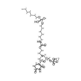 CCCCCCCOP(=O)(O)OCCCCCCNC(=O)OCCN1C[C@@H](COP(=O)(O)OC)O[C@@H](n2ccc(=O)[nH]c2=O)C1